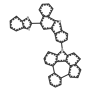 c1ccc2c(c1)-c1cccc3ccc4c(c13)c1c-2cccc1n4-c1ccc2oc3c4ccccc4c(-c4nc5ccccc5s4)cc3c2c1